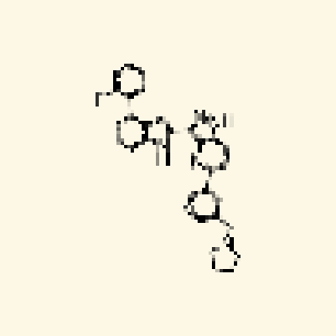 Fc1ccccc1-c1cccc2[nH]c(-c3n[nH]c4ccc(-c5cncc(CN6CCCC6)c5)nc34)cc12